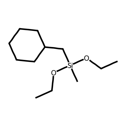 CCO[Si](C)(CC1CCCCC1)OCC